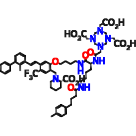 Cc1ccc(CCCC(=O)NCCCC[C@H](NC(=O)CN2CN(CC(=O)O)CN(CC(=O)O)CN(CC(=O)O)C2)C(=O)NCCCCOc2cc(/C=C/c3cccc(-c4ccccc4)c3C)c(C(F)(F)F)cc2CN2CCCC[C@H]2C(=O)O)cc1